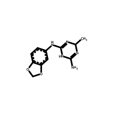 CC1N=C(N)NC(Nc2ccc3c(c2)OCO3)=N1